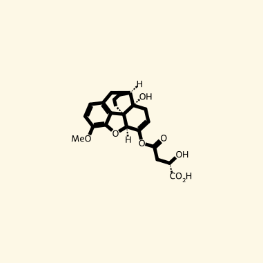 COc1ccc2c3c1O[C@@H]1C(OC(=O)C[C@H](O)C(=O)O)=CC[C@]4(O)[C@@H](CCC[C@@]314)C2